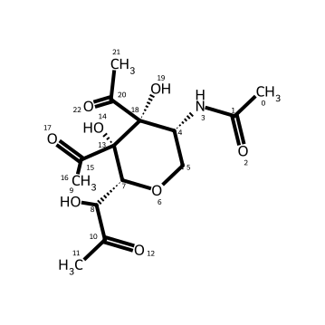 CC(=O)N[C@@H]1[CH]O[C@H](C(O)C(C)=O)[C@@](O)(C(C)=O)[C@@]1(O)C(C)=O